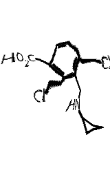 O=C(O)c1ccc(Cl)c(CNC2CC2)c1Cl